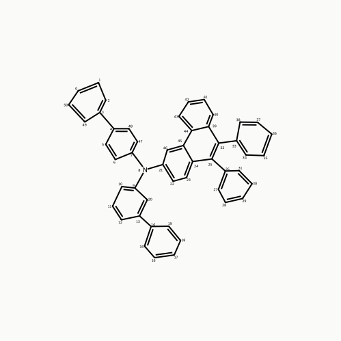 c1ccc(-c2ccc(N(c3cccc(-c4ccccc4)c3)c3ccc4c(-c5ccccc5)c(-c5ccccc5)c5ccccc5c4c3)cc2)cc1